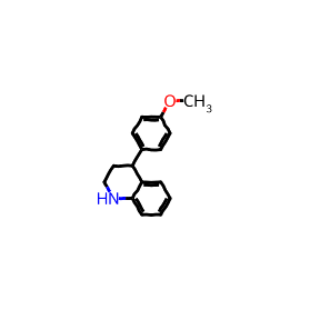 COc1ccc(C2CCNc3ccccc32)cc1